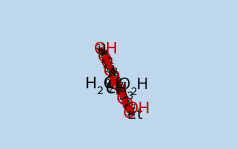 C=C(C)C(=O)O.CCOC(O)COCCOCCOCCOCCOCCOCCOCCOCCO